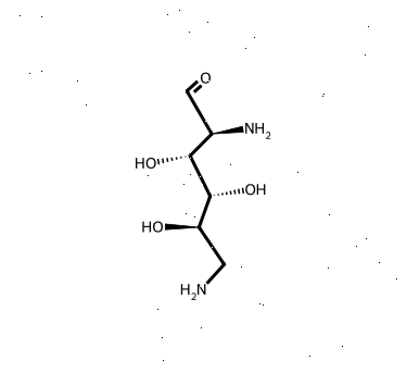 NC[C@@H](O)[C@@H](O)[C@H](O)[C@H](N)C=O